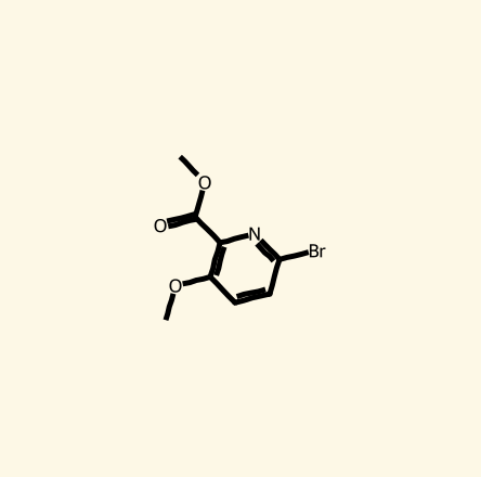 COC(=O)c1nc(Br)ccc1OC